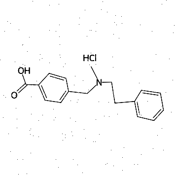 CN(CCc1ccccc1)Cc1ccc(C(=O)O)cc1.Cl